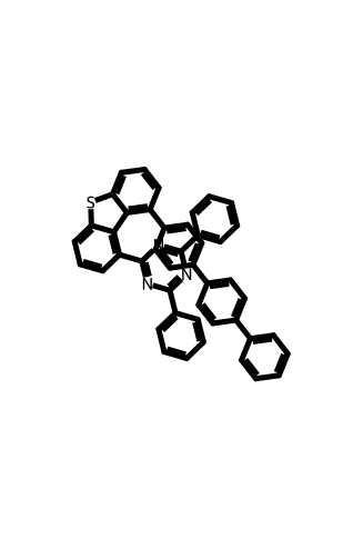 c1ccc(-c2ccc(-c3ccc(-c4cccc5sc6cccc(-c7nc(-c8ccccc8)nc(-c8ccccc8)n7)c6c45)cc3)cc2)cc1